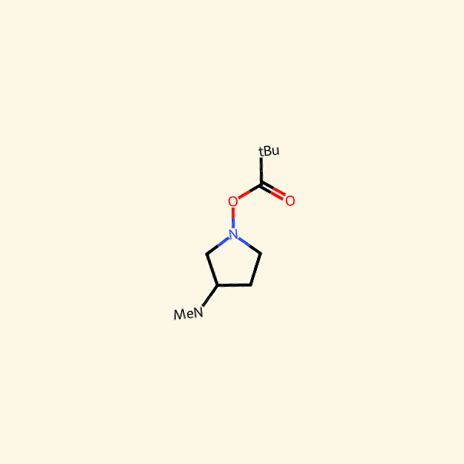 CNC1CCN(OC(=O)C(C)(C)C)C1